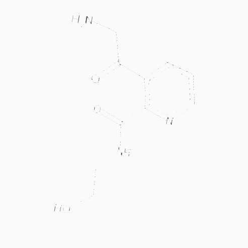 NCC(=O)c1cccnc1C(=O)NCCO